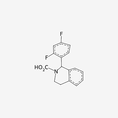 O=C(O)N1CCc2ccccc2C1c1ccc(F)cc1F